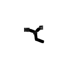 C[CH2][Al]([SH])[Cl]